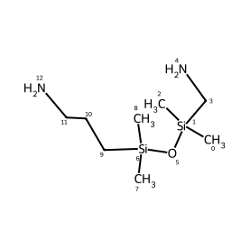 C[Si](C)(CN)O[Si](C)(C)CCCN